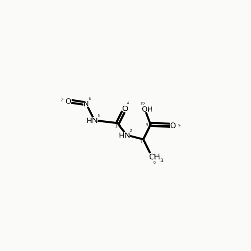 CC(NC(=O)NN=O)C(=O)O